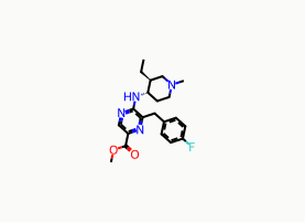 CC[C@H]1CN(C)CC[C@@H]1Nc1ncc(C(=O)OC)nc1Cc1ccc(F)cc1